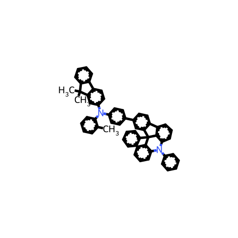 Cc1ccccc1N(c1ccc(-c2ccc3c(c2)C2(c4ccccc4)c4ccccc4N(c4ccccc4)c4cccc-3c42)cc1)c1ccc2c(c1)C(C)(C)c1ccccc1-2